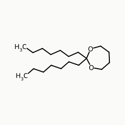 CCCCCCCC1(CCCCCCC)OCCCCO1